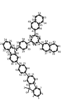 CC1(C)c2ccccc2-c2ccc(-c3ccc(-c4ccc5c6ccccc6n(-c6ccc(-c7nc(-c8ccc9ccccc9c8)nc(-c8ccc9ccccc9c8)n7)cc6)c5c4)cc3)cc21